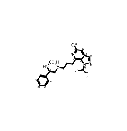 O=C(O)NC(COCCCc1nc(Cl)cc2cnn(C(F)F)c12)c1ccccc1